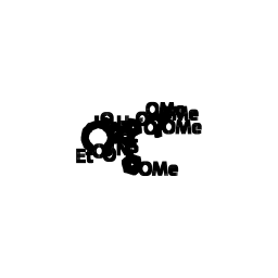 CC[C@H]1CCCC[C@@H](C)C(=O)C2=CC3[C@@H]4C[C@H](OC5OC(C)C(OC)C(OC)C5OC)CC4c4sc(-c5cccc(OC)c5)nc4[C@H]3[C@@H]2CC(=O)O1